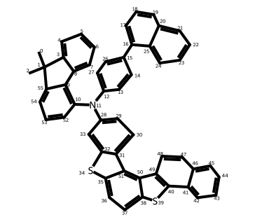 CC1(C)c2ccccc2-c2c(N(c3ccc(-c4cccc5ccccc45)cc3)c3ccc4c(c3)sc3ccc5sc6c7ccccc7ccc6c5c34)cccc21